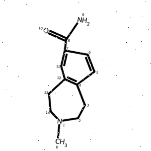 CN1CCc2ccc(C(N)=O)cc2CC1